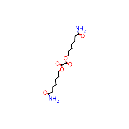 NC(=O)CCCCCCOC(=O)C(=O)OCCCCCCC(N)=O